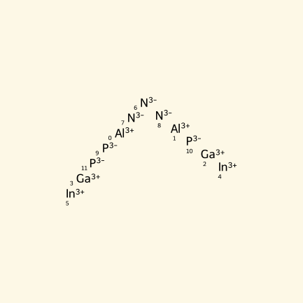 [Al+3].[Al+3].[Ga+3].[Ga+3].[In+3].[In+3].[N-3].[N-3].[N-3].[P-3].[P-3].[P-3]